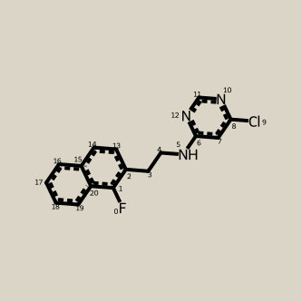 Fc1c(CCNc2cc(Cl)ncn2)ccc2ccccc12